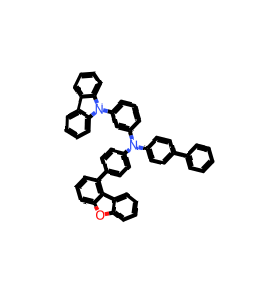 c1ccc(-c2ccc(N(c3ccc(-c4cccc5oc6ccccc6c45)cc3)c3cccc(-n4c5ccccc5c5ccccc54)c3)cc2)cc1